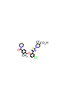 Cc1cc(C(=O)N2CCCCC2)ccc1COc1ccc(Cl)cc1-c1csc(N2CCC(C(=O)O)C(C(F)(F)F)C2)n1